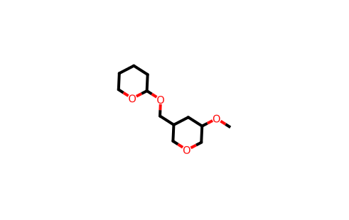 COC1COCC(COC2CCCCO2)C1